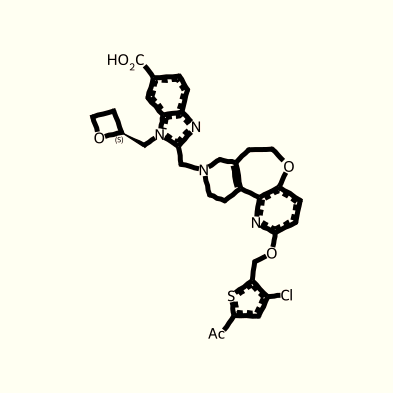 CC(=O)c1cc(Cl)c(COc2ccc3c(n2)C2=C(CCO3)CN(Cc3nc4ccc(C(=O)O)cc4n3C[C@@H]3CCO3)CC2)s1